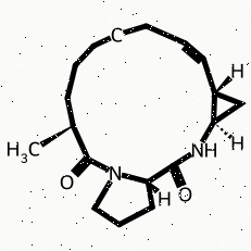 C[C@H]1CCCCC/C=C\[C@@H]2C[C@H]2NC(=O)[C@@H]2CCCN2C1=O